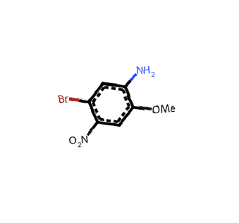 COc1cc([N+](=O)[O-])c(Br)cc1N